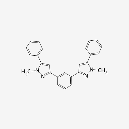 Cn1nc(-c2cccc(-c3cc(-c4ccccc4)n(C)n3)c2)cc1-c1ccccc1